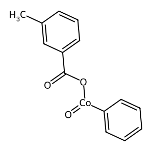 Cc1cccc(C(=O)[O][Co](=[O])[c]2ccccc2)c1